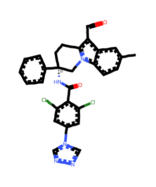 Cc1ccc2c(c1)c(C=O)c1n2C[C@@](NC(=O)c2c(Cl)cc(-n3cnnc3)cc2Cl)(c2ccccc2)CC1